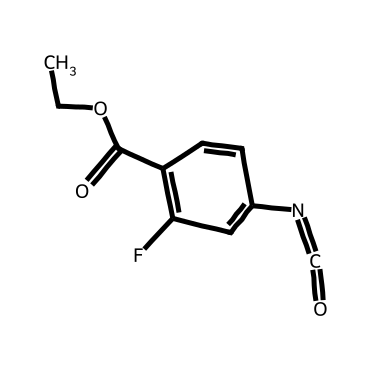 CCOC(=O)c1ccc(N=C=O)cc1F